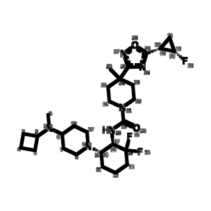 CN(C1CCC1)C1CCN([C@H]2CCCC(F)(F)[C@@H]2NC(=O)N2CCC(C)(c3noc([C@@H]4C[C@@H]4F)n3)CC2)CC1